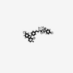 CN1CCc2c(n(-c3ccc(CCNC(=O)NS(=O)(=O)c4ccc(Cl)cc4)cc3)c3cc(Cl)ccc23)C1=O